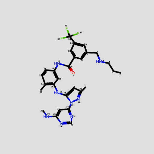 CCCNCc1cc(C(=O)Nc2ccc(C)c(Nc3cc(C)nn3-c3cc(NC)ncn3)c2)cc(C(F)(F)F)c1